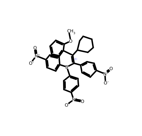 COc1ccccc1/C(=C(\B(c1ccc([N+](=O)[O-])cc1)c1ccc([N+](=O)[O-])cc1)c1ccc([N+](=O)[O-])cc1)C1CCCCC1